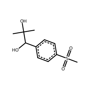 CC(C)(O)C(O)c1ccc(S(C)(=O)=O)cc1